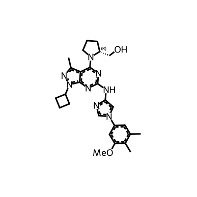 COc1cc(-n2cnc(Nc3nc(N4CCC[C@@H]4CO)c4c(C)nn(C5CCC5)c4n3)c2)cc(C)c1C